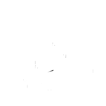 CCCCc1ncc(C[C@H](NC(=O)CCC)C(=O)O)n1Cc1ccccc1Cl